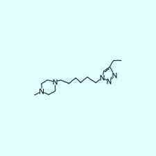 CCc1cn(CCCCCCN2CCN(C)CC2)nn1